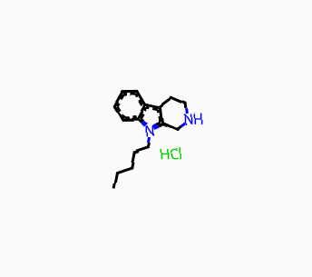 CCCCCn1c2c(c3ccccc31)CCNC2.Cl